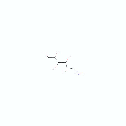 OCC(O)C(O)C(O)C(O)CNF